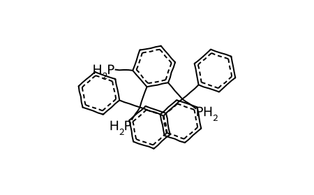 Pc1cccc(C(P)(c2ccccc2)c2ccccc2)c1C(P)(c1ccccc1)c1ccccc1